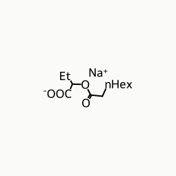 CCCCCCCC(=O)OC(CC)C(=O)[O-].[Na+]